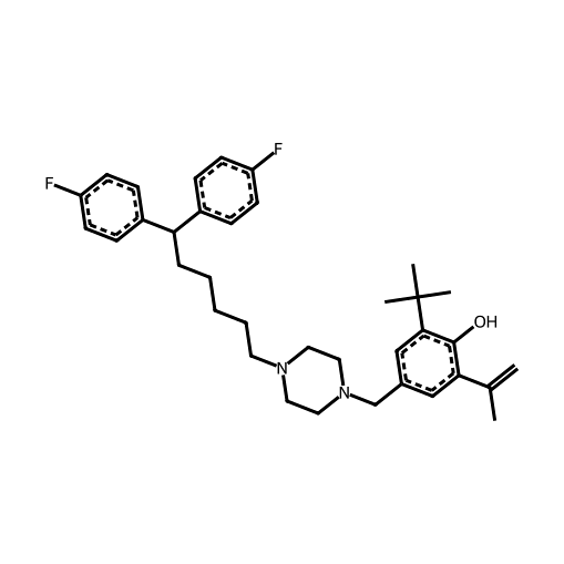 C=C(C)c1cc(CN2CCN(CCCCCC(c3ccc(F)cc3)c3ccc(F)cc3)CC2)cc(C(C)(C)C)c1O